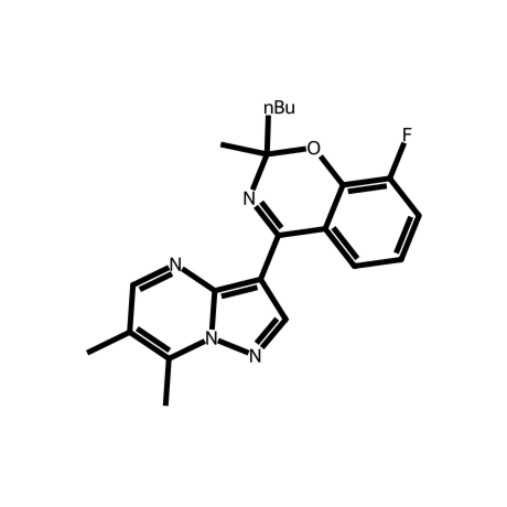 CCCCC1(C)N=C(c2cnn3c(C)c(C)cnc23)c2cccc(F)c2O1